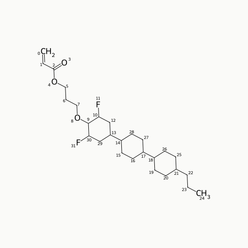 C=CC(=O)OCCCOC1C(F)CC(C2CCC(C3CCC(CCC)CC3)CC2)CC1F